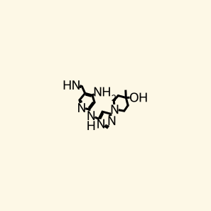 CC1(O)CCN(c2cc(Nc3cc(N)c(C=N)cn3)ncn2)CC1